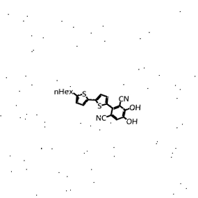 CCCCCCc1ccc(-c2ccc(-c3c(C#N)cc(O)c(O)c3C#N)s2)s1